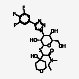 CCN(C)C(=O)C(S[C@@H]1O[C@H](CO)[C@H](O)[C@H](n2cc(-c3cc(F)c(F)c(F)c3)nn2)[C@H]1O)C1(O)CCOCC1